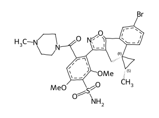 COc1cc(C(=O)N2CCN(C)CC2)c(-c2noc3c2C[C@@]2(C[C@@H]2C)c2ccc(Br)cc2-3)c(OC)c1S(N)(=O)=O